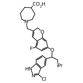 CC(C)CC(Oc1cc(F)c2c(c1)OCC(CN1CCCC(C(=O)O)CC1)=C2)c1ccc2[nH]nc(Cl)c2c1